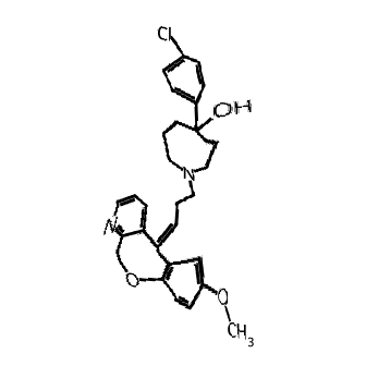 COc1ccc2c(c1)/C(=C/CCN1CCCC(O)(c3ccc(Cl)cc3)CC1)c1cccnc1CO2